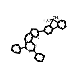 CC1(C)c2ccccc2-c2ccc(-c3ccc4ccc5c(-c6ccccc6)nc(-c6ccccc6)nc5c4n3)cc21